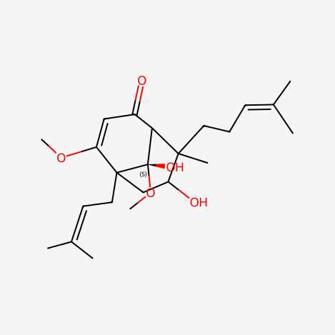 COC1=CC(=O)C2C(C)(CCC=C(C)C)C(O)CC1(CC=C(C)C)[C@@]2(O)OC